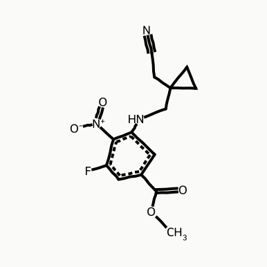 COC(=O)c1cc(F)c([N+](=O)[O-])c(NCC2(CC#N)CC2)c1